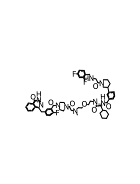 CN(CCOCCN(C)C(=O)[C@H](NC(=O)c1cccc(C2CCCN(C(=O)CNCc3ccc(F)cc3F)C2)c1)C1CCCCC1)CC(=O)N1CCN(C(=O)c2cc(Cc3n[nH]c(=O)c4ccccc34)ccc2F)CC1